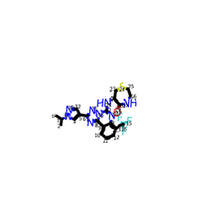 CC(C)n1cc(-c2nc3c4cccc(C(F)(F)F)c4nc(N[C@@H]4CSCCNC4=O)n3n2)cn1